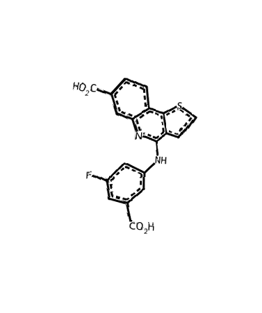 O=C(O)c1cc(F)cc(Nc2nc3cc(C(=O)O)ccc3c3sccc23)c1